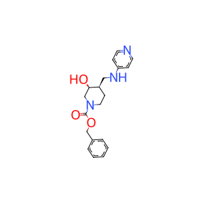 O=C(OCc1ccccc1)N1CC[C@H](CNc2ccncc2)[C@H](O)C1